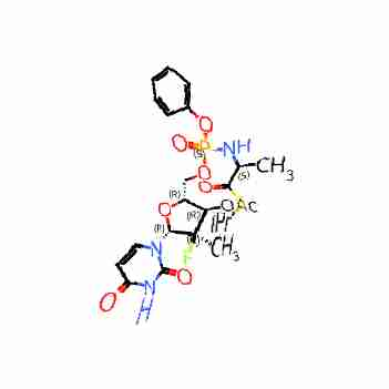 CC(=O)O[C@@H]1[C@@H](CO[P@@](=O)(N[C@@H](C)C(=O)SC(C)C)Oc2ccccc2)O[C@@H](n2ccc(=O)[nH]c2=O)[C@]1(C)F